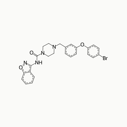 O=C(Nc1noc2ccccc12)N1CCN(Cc2cccc(Oc3ccc(Br)cc3)c2)CC1